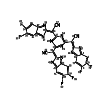 N#CC(=C1N=c2cc(F)c(F)cc2=N1)c1nc(C(C#N)=C2N=c3cc(F)c(F)cc3=N2)nc(C(C#N)=C2N=c3cc(F)c(F)cc3=N2)n1